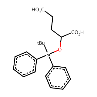 CC(C)(C)[Si](OC(CCC(=O)O)C(=O)O)(c1ccccc1)c1ccccc1